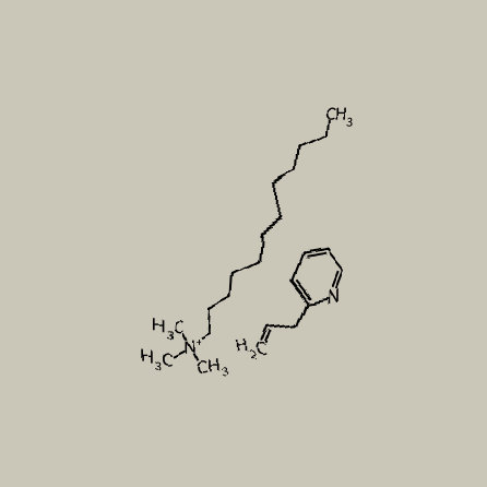 C=CCc1ccccn1.CCCCCCCCCCCC[N+](C)(C)C